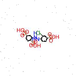 O=S(=O)(O)c1ccc(NNc2cc(S(=O)(=O)O)ccc2S(=O)(=O)O)c(Cl)c1